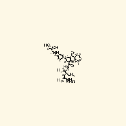 CCN(c1cc(-c2ccc(CNC[C@@H](O)CO)cc2)cc(C(=O)NC/C(C)=C(C)/C=C(/C)NC=O)c1C)C1CCOCC1